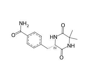 CC1(C)NC(=O)[C@H](Cc2ccc(C(N)=O)cc2)NC1=O